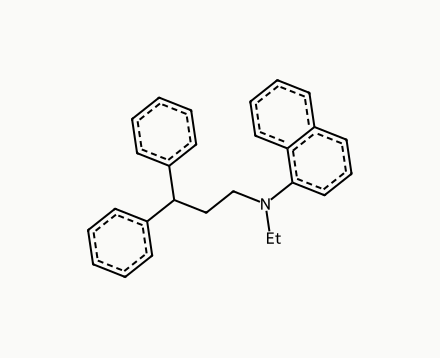 CCN(CCC(c1ccccc1)c1ccccc1)c1cccc2ccccc12